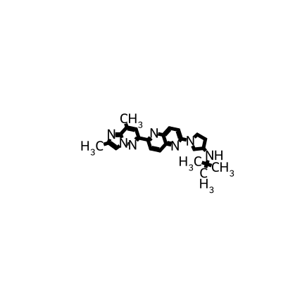 Cc1cn2nc(-c3ccc4nc(N5CCC(NC(C)(C)C)C5)ccc4n3)cc(C)c2n1